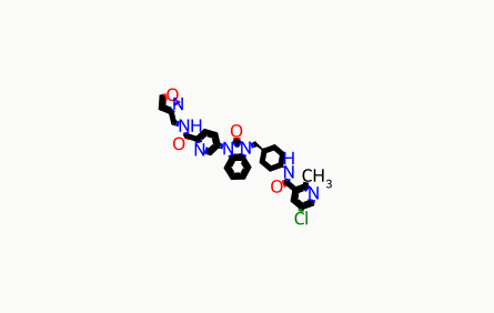 Cc1ncc(Cl)cc1C(=O)N[C@H]1CC[C@H](Cn2c(=O)n(-c3ccc(C(=O)NCc4ccon4)nc3)c3ccccc32)CC1